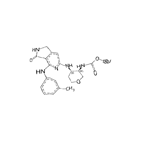 Cc1cccc(Nc2nc(N[C@@H]3CCOC[C@@H]3NC(=O)OC(C)(C)C)cc3c2C(=O)NC3)c1